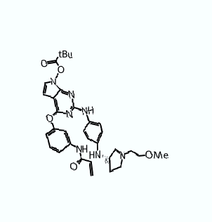 C=CC(=O)Nc1cccc(Oc2nc(Nc3ccc(N[C@H]4CCN(CCOC)C4)cc3)nc3c2ccn3OC(=O)C(C)(C)C)c1